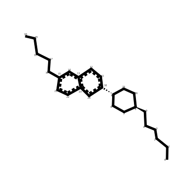 CCCCCC[C@H]1CC[C@H](c2ccc3cc(CCCCC)ccc3c2)CC1